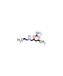 C=CCNCC(CC=C)OC(N)=O